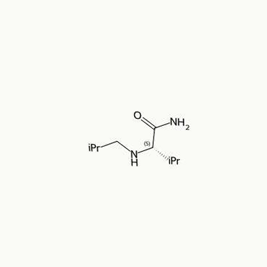 CC(C)CN[C@H](C(N)=O)C(C)C